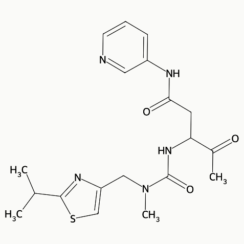 CC(=O)C(CC(=O)Nc1cccnc1)NC(=O)N(C)Cc1csc(C(C)C)n1